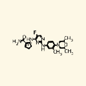 Cc1cc(Nc2ncc(F)c(N[C@H]3CCC[C@H]3C(N)=O)n2)ccc1N1CC(C)OC(C)C1